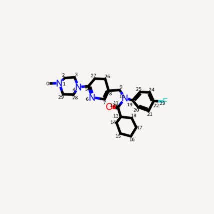 CN1CCN(C2=NC=C(CN(C(=O)C3CCCCC3)c3ccc(F)cc3)CC2)CC1